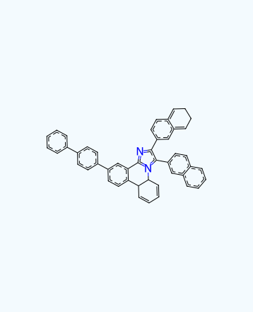 C1=CC2c3ccc(-c4ccc(-c5ccccc5)cc4)cc3-c3nc(-c4ccc5c(c4)=CCCC=5)c(-c4ccc5ccccc5c4)n3C2C=C1